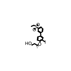 CCS(=O)(=O)c1cccc(-c2ccc(O[C@H](C)CCO)c(I)c2)c1